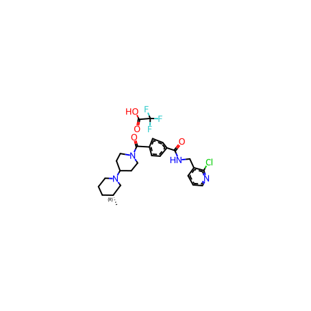 C[C@@H]1CCCN(C2CCN(C(=O)c3ccc(C(=O)NCc4cccnc4Cl)cc3)CC2)C1.O=C(O)C(F)(F)F